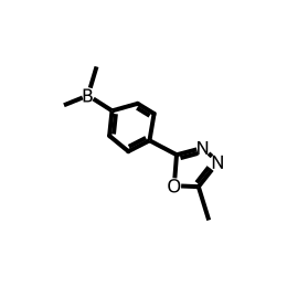 CB(C)c1ccc(-c2nnc(C)o2)cc1